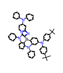 CC(C)(C)c1ccc(N(c2ccc(C(C)(C)C)cc2)c2ccc3c(c2)N(c2ccccc2)c2cccc4c2B3c2nc3cc(N(c5ccccc5)c5ccccc5)ccn3c2N4c2ccccc2)cc1